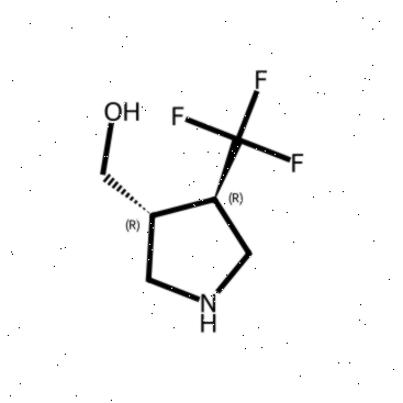 OC[C@H]1CNC[C@@H]1C(F)(F)F